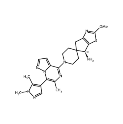 COc1nc2c(s1)[C@@H](N)C1(CCN(c3nc(C)c(-c4cnn(C)c4C)n4nccc34)CC1)C2